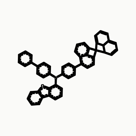 C1=CC2=CC=CC3C2C(=C1)C31c2cccc3c(-c4ccc(N(c5ccc(-c6ccccc6)cc5)c5cccc6c5oc5ccccc56)cc4)ccc1c23